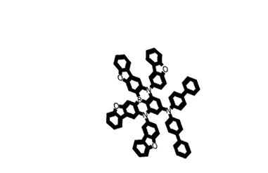 c1ccc(-c2ccc(N(c3ccc(-c4ccccc4)cc3)c3cc4c5c(c3)N(c3ccc6oc7ccccc7c6c3)c3cc6c(cc3B5c3cc5oc7ccccc7c5cc3N4c3ccc4oc5ccccc5c4c3)oc3ccccc36)cc2)cc1